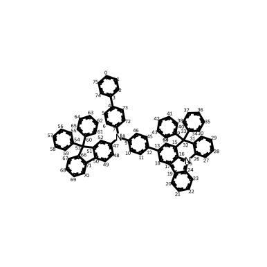 c1ccc(-c2ccc(N(c3ccc(-c4cc5c6c(c4)c4ccccc4n6-c4ccccc4C5(c4ccccc4)c4ccccc4)cc3)c3ccc4c(c3)C(c3ccccc3)(c3ccccc3)c3ccccc3-4)cc2)cc1